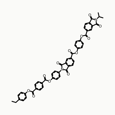 CCc1ccc(OC(=O)c2ccc(C(=O)Oc3ccc(N4C(=O)c5ccc(C(=O)Oc6ccc(OC(=O)c7ccc8c(c7)C(=O)N(C(C)C)C8=O)cc6)cc5C4=O)cc3)cc2)cc1